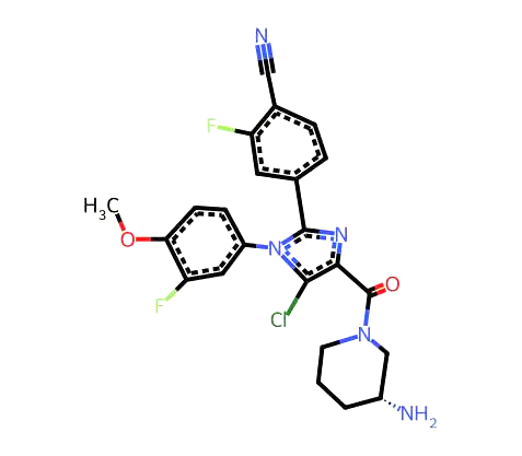 COc1ccc(-n2c(-c3ccc(C#N)c(F)c3)nc(C(=O)N3CCC[C@@H](N)C3)c2Cl)cc1F